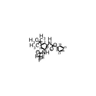 CC(C)(C)c1cc(NC(=O)Oc2ccccc2)cc(NC(=O)C(F)(F)F)c1